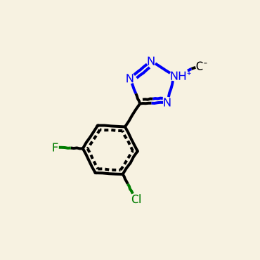 [CH2-][NH+]1N=NC(c2cc(F)cc(Cl)c2)=N1